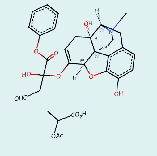 CC(=O)OC(C)C(=O)O.CN1CC[C@]23c4c5ccc(O)c4O[C@H]2C(OC(O)(CC=O)C(=O)Oc2ccccc2)=CC[C@@]3(O)[C@H]1C5